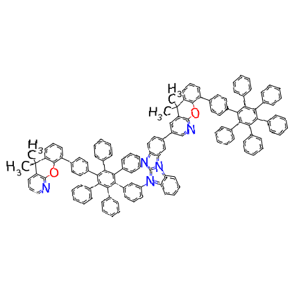 CC1(C)c2cccnc2Oc2c(-c3ccc(-c4c(-c5ccccc5)c(-c5ccccc5)c(-c5cccc(-n6c7ccccc7n7c8cc(-c9cnc%10c(c9)C(C)(C)c9cccc(-c%11ccc(-c%12c(-c%13ccccc%13)c(-c%13ccccc%13)c(-c%13ccccc%13)c(-c%13ccccc%13)c%12-c%12ccccc%12)cc%11)c9O%10)ccc8nc67)c5)c(-c5ccccc5)c4-c4ccccc4)cc3)cccc21